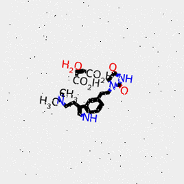 CN(C)CCc1c[nH]c2ccc(CCN3CC(=O)NC3=O)cc12.O.O=C(O)/C=C\C(=O)O